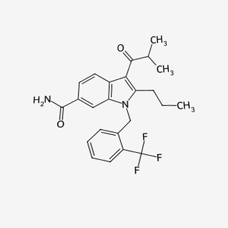 CCCc1c(C(=O)C(C)C)c2ccc(C(N)=O)cc2n1Cc1ccccc1C(F)(F)F